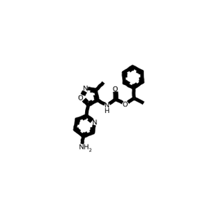 Cc1noc(-c2ccc(N)cn2)c1NC(=O)OC(C)c1ccccc1